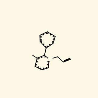 C=CC[n+]1cccc(O)c1-c1ccccc1.[Br-]